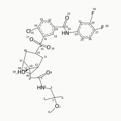 COC(C)(C)CNC(=O)C[C@@]1(O)C2CC(S(=O)(=O)c3cc(C(=O)Nc4ccc(F)c(F)c4)ccc3Cl)CC1[C@@H](C)C2